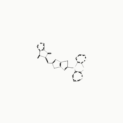 O=C1C(=CC2=CC3=C(C=C(N4c5cccnc5[Te]c5ncccc54)C3)C2)C(=O)c2cscc21